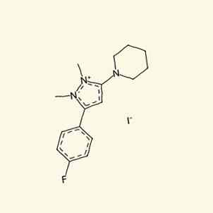 Cn1c(-c2ccc(F)cc2)cc(N2CCCCC2)[n+]1C.[I-]